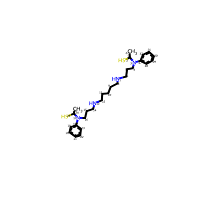 CC(S)N(CCCNCCCCCNCCCN(c1ccccc1)C(C)S)c1ccccc1